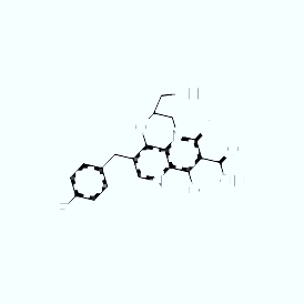 C[C@]1(CO)Cn2c(=O)c(C(=O)O)c(O)c3ncc(Cc4ccc(F)cc4)c(c32)O1